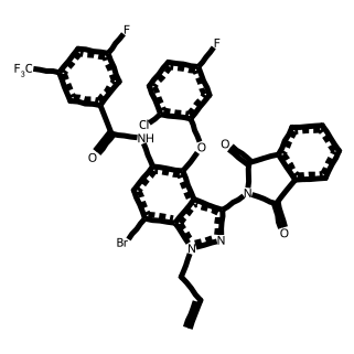 C=CCn1nc(N2C(=O)c3ccccc3C2=O)c2c(Oc3cc(F)ccc3Cl)c(NC(=O)c3cc(F)cc(C(F)(F)F)c3)cc(Br)c21